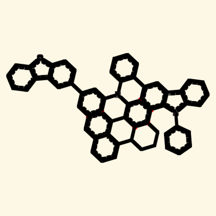 c1ccc(-n2c3ccccc3c3cc(-c4ccccc4N(c4cccc(-c5ccc6oc7ccccc7c6c5)c4)c4ccccc4-c4cccc5cccc(C6CCCCC6)c45)ccc32)cc1